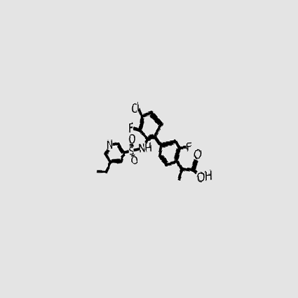 CCc1cncc(S(=O)(=O)Nc2c(-c3ccc(C(C)C(=O)O)c(F)c3)ccc(Cl)c2F)c1